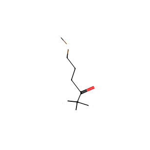 CSCCCC(=O)C(C)(C)C